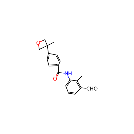 Cc1c(C=O)cccc1NC(=O)c1ccc(C2(C)COC2)cc1